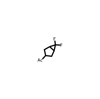 CC(=O)C1CC2C(C1)C2(F)F